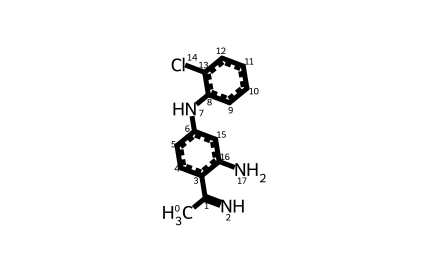 CC(=N)c1ccc(Nc2ccccc2Cl)cc1N